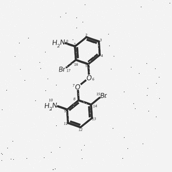 Nc1cccc(OOc2c(N)cccc2Br)c1Br